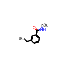 CCCCNC(=O)c1cccc(CC(C)(C)C)c1